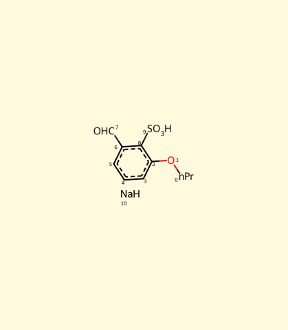 CCCOc1cccc(C=O)c1S(=O)(=O)O.[NaH]